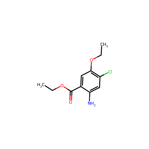 CCOC(=O)c1cc(OCC)c(Cl)cc1N